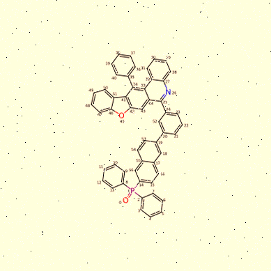 O=P(c1ccccc1)(c1ccccc1)c1ccc2cc(-c3cccc(-c4nc5ccccc5c5c(-c6ccccc6)c6c(cc45)oc4ccccc46)c3)ccc2c1